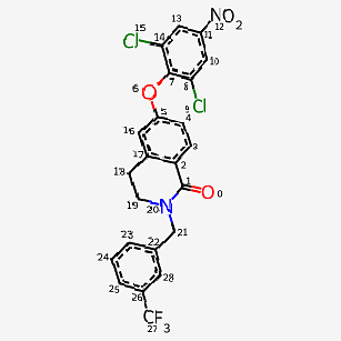 O=C1c2ccc(Oc3c(Cl)cc([N+](=O)[O-])cc3Cl)cc2CCN1Cc1cccc(C(F)(F)F)c1